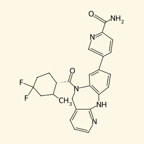 CC1CC(F)(F)CC[C@@H]1C(=O)N1Cc2cccnc2Nc2ccc(-c3ccc(C(N)=O)nc3)cc21